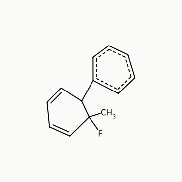 CC1(F)C=CC=CC1c1ccccc1